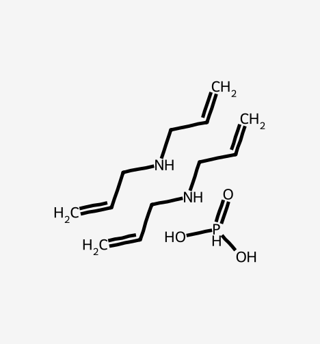 C=CCNCC=C.C=CCNCC=C.O=[PH](O)O